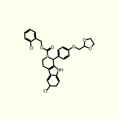 O=C(OCc1ccccc1Cl)N1CCc2c([nH]c3c2=CC(Cl)CC=3)C1c1ccc(OCC2OCCO2)cc1